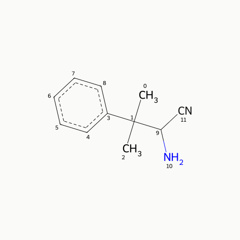 CC(C)(c1ccccc1)C(N)C#N